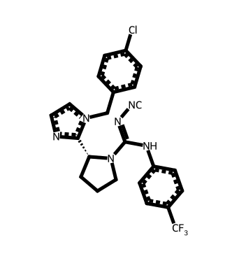 [C-]#[N+]/N=C(\Nc1ccc(C(F)(F)F)cc1)N1CCC[C@@H]1c1nccn1Cc1ccc(Cl)cc1